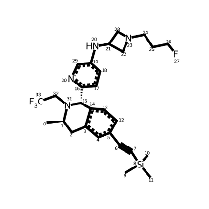 C[C@@H]1Cc2cc(C#C[Si](C)(C)C)ccc2[C@@H](c2ccc(NC3CN(CCCF)C3)cn2)N1CC(F)(F)F